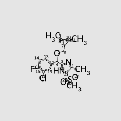 Cc1nc(C(OCC2[C@H](C)[C@H]2C)c2ccc(F)c(Cl)c2)[nH]c1S(C)(=O)=O